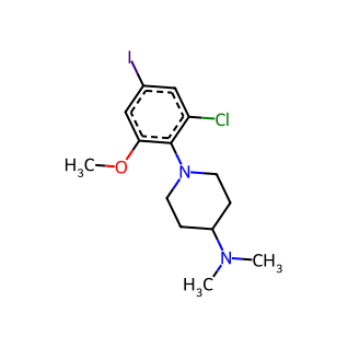 COc1cc(I)cc(Cl)c1N1CCC(N(C)C)CC1